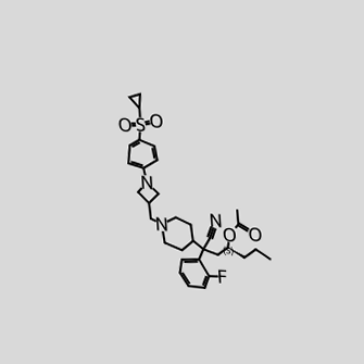 CCC[C@@H](CC(C#N)(c1ccccc1F)C1CCN(CC2CN(c3ccc(S(=O)(=O)C4CC4)cc3)C2)CC1)OC(C)=O